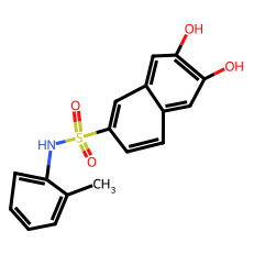 Cc1ccccc1NS(=O)(=O)c1ccc2cc(O)c(O)cc2c1